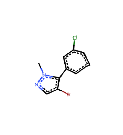 Cn1ncc(Br)c1-c1cccc(Cl)c1